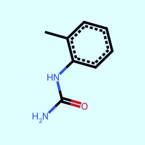 Cc1ccccc1NC(N)=O